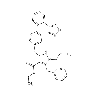 CCCN1NC(Cc2ccc(-c3ccccc3-c3nn[nH]n3)cc2)C(C(=O)OCC)=C1Cc1ccccc1